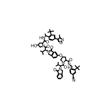 Cc1nocc1-c1ccc(C(C)NC(=O)C2CC(O)CN2C(=O)C(C(C)C)N2Cc3ccc(OC4CC(C(=O)NCc5ccc(C#N)cc5C(C)(C)C)N(C(=O)C(C(C)C)N5Cc6ccccc6C5=O)C4)cc3C2=O)c(C(C)(C)C)c1